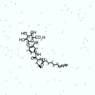 C#CCC(NC(=O)CCCCCN=[N+]=[N-])C(=O)Nc1ccc(OC2OC(C(=O)O)C(O)C(O)C2O)c(CF)c1